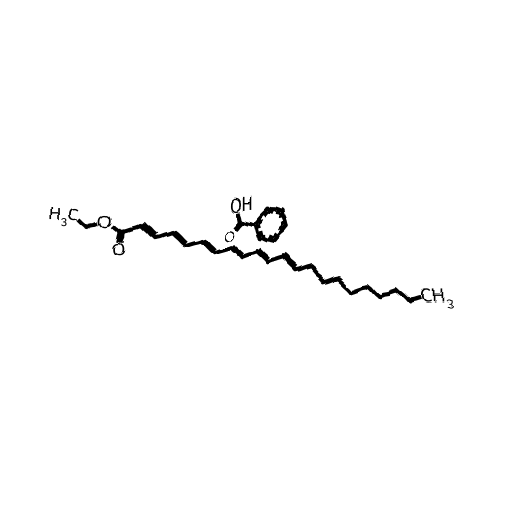 CCCCCCCCCC=CC=CC=CC=CC=CC=CC(=O)OCC.O=C(O)c1ccccc1